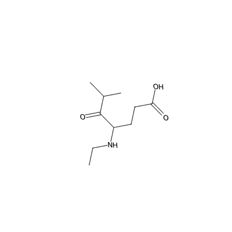 CCNC(CCC(=O)O)C(=O)C(C)C